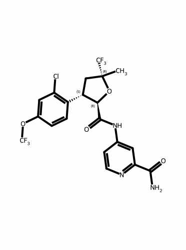 C[C@]1(C(F)(F)F)C[C@@H](c2ccc(OC(F)(F)F)cc2Cl)[C@H](C(=O)Nc2ccnc(C(N)=O)c2)O1